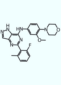 COc1cc(Nc2nc(-c3c(C)cccc3F)nc3cn[nH]c23)ccc1N1CCOCC1